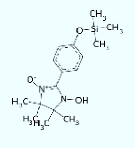 CC1(C)N(O)C(c2ccc(O[Si](C)(C)C)cc2)=[N+]([O-])C1(C)C